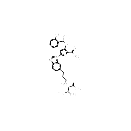 CC(C)[C@H](NCCCc1ccc2ncn(-c3cc(O[C@H](C)c4ccccc4Cl)c(C(N)=O)s3)c2c1)C(=O)O